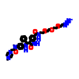 CN1CCN(CC(=O)N(C)c2ccc(N/C(=C3\C(=O)Nc4cc(C(=O)NCCOCCOCCOCCN=[N+]=[N-])ccc43)c3ccccc3)cc2)CC1